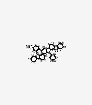 N#Cc1ccc(-c2ccc3c(c2)c2ccc4c5c(oc4c2n3-c2ccccc2)CCC=C5)c(-n2c3c(c4ccccc42)CCC=C3)c1